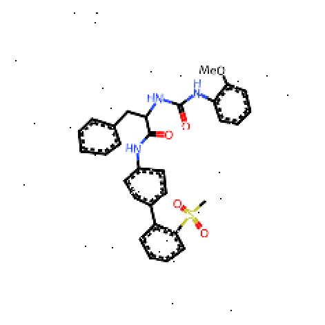 COc1ccccc1NC(=O)NC(Cc1ccccc1)C(=O)Nc1ccc(-c2ccccc2S(C)(=O)=O)cc1